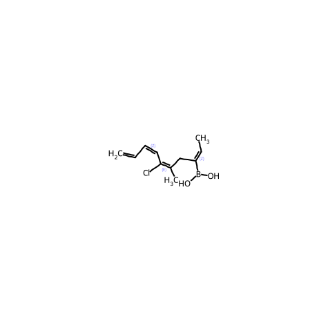 C=C/C=C\C(Cl)=C(\C)C/C(=C\C)B(O)O